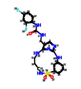 O=C(NCc1cnc2nc1NCCCNS(=O)(=O)c1cccc(c1)N2)Nc1ccc(F)cc1F